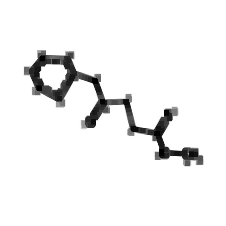 COC(=S)CCC(=O)Cc1ccccc1